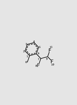 Cc1ccccc1C(F)C(F)F